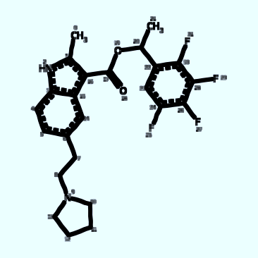 Cc1[nH]c2ccc(CCN3CCCC3)cc2c1C(=O)OC(C)c1cc(F)c(F)c(F)c1F